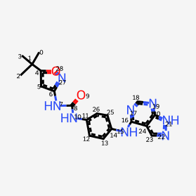 CC(C)(C)c1cc(NC(=O)Nc2ccc(Nc3ncnc4[nH]ncc34)cc2)no1